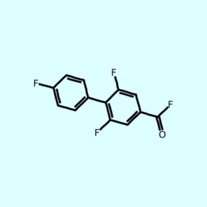 O=C(F)c1cc(F)c(-c2ccc(F)cc2)c(F)c1